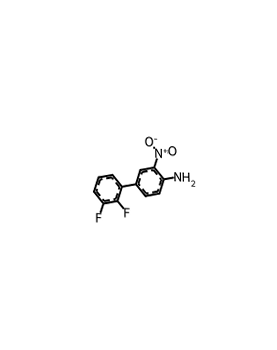 Nc1ccc(-c2cccc(F)c2F)cc1[N+](=O)[O-]